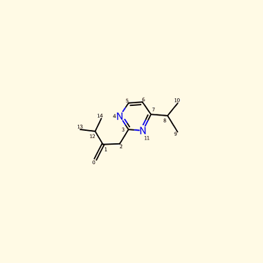 C=C(Cc1nccc(C(C)C)n1)C(C)C